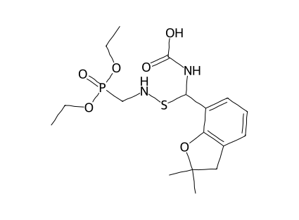 CCOP(=O)(CNSC(NC(=O)O)c1cccc2c1OC(C)(C)C2)OCC